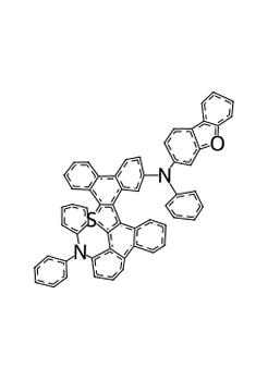 c1ccc(N(c2ccc3c(c2)oc2ccccc23)c2ccc3c4ccccc4c4sc5c6c(N(c7ccccc7)c7ccccc7)cccc6c6ccccc6c5c4c3c2)cc1